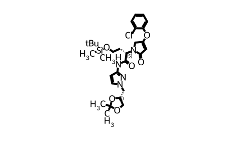 CC1(C)OC[C@@H](Cn2ccc(NC(=O)[C@H](CCO[Si](C)(C)C(C)(C)C)N3CC(Oc4ccccc4Cl)=CC3=O)n2)O1